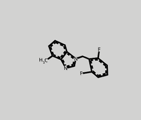 Cc1cccc2c1ncn2Cc1c(F)cccc1F